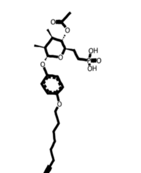 C#CCCCCCCOc1ccc(O[C@H]2O[C@H](CCP(=O)(O)O)[C@@H](OC(C)=O)[C@H](C)[C@@H]2C)cc1